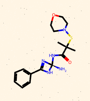 CC(C)(SN1CCOCC1)C(=O)N[C@@]1(N)N=C(c2ccccc2)N1